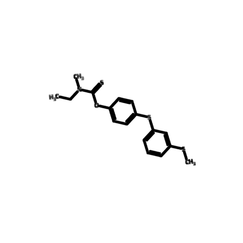 CCN(C)C(=S)Oc1ccc(Sc2cccc(SC)c2)cc1